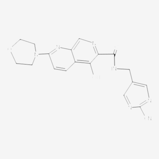 N#Cc1ncc(CNC(=O)c2ncc3nc(N4CCOCC4)ccc3c2O)cn1